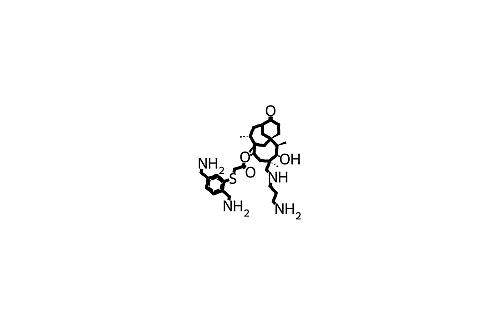 C[C@@H]1CC2C[C@@]3(CCC2=O)C[C@]1(C)[C@H](OC(=O)CSc1cc(CN)ccc1CN)C[C@](C)(CNCCCN)[C@@H](O)[C@@H]3C